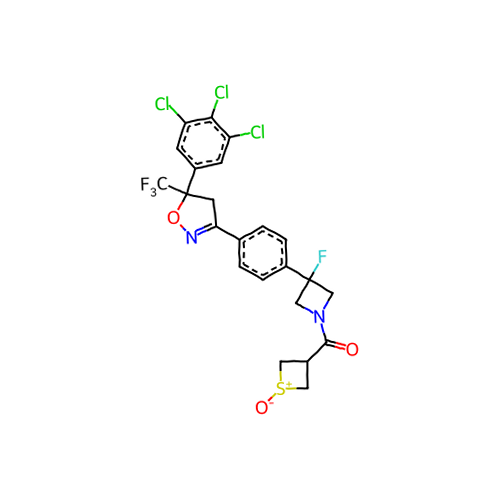 O=C(C1C[S+]([O-])C1)N1CC(F)(c2ccc(C3=NOC(c4cc(Cl)c(Cl)c(Cl)c4)(C(F)(F)F)C3)cc2)C1